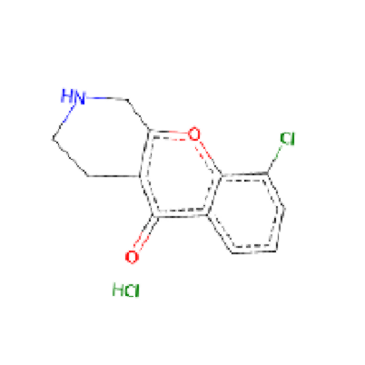 Cl.O=c1c2c(oc3c(Cl)cccc13)CNCC2